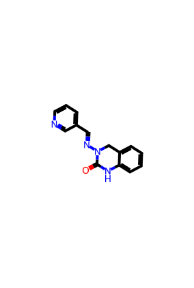 O=C1Nc2ccccc2CN1N=Cc1cccnc1